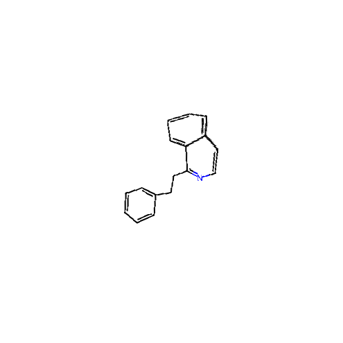 c1ccc(CCc2nccc3ccccc23)cc1